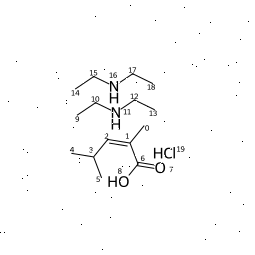 CC(=CC(C)C)C(=O)O.CCNCC.CCNCC.Cl